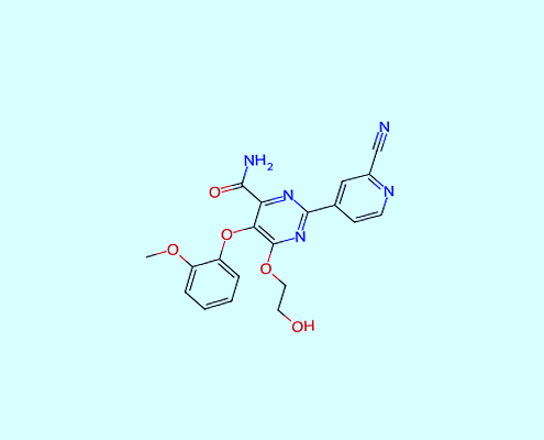 COc1ccccc1Oc1c(OCCO)nc(-c2ccnc(C#N)c2)nc1C(N)=O